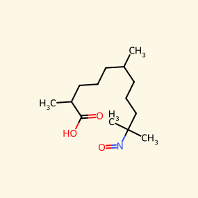 CC(CCCC(C)C(=O)O)CCCC(C)(C)N=O